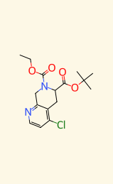 CCOC(=O)N1Cc2nccc(Cl)c2CC1C(=O)OC(C)(C)C